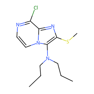 CCCN(CCC)c1c(SC)nc2c(Cl)nccn12